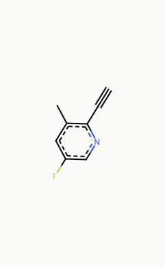 C#Cc1ncc(F)cc1C